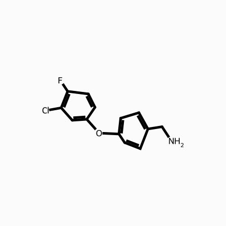 NCc1ccc(Oc2ccc(F)c(Cl)c2)cc1